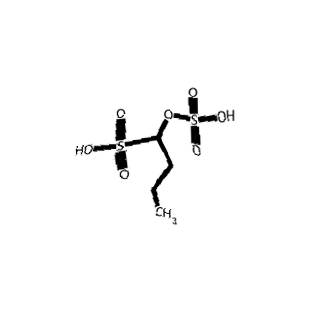 CCCC(OS(=O)(=O)O)S(=O)(=O)O